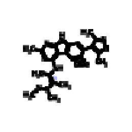 C=NN(C)/C(C)=C(\C)Nc1nc(C)nc2[nH]c3cc(-c4c(C)noc4C)c(OC)cc3c12